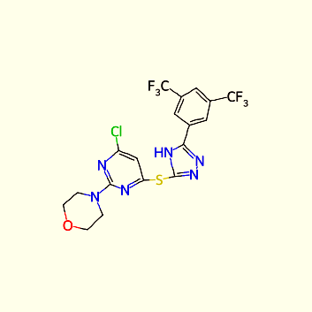 FC(F)(F)c1cc(-c2nnc(Sc3cc(Cl)nc(N4CCOCC4)n3)[nH]2)cc(C(F)(F)F)c1